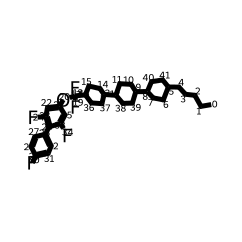 CCCCCC1CCC(C2CCC(C3CCC(C(F)(F)Oc4cc(F)c(-c5ccc(F)cc5)c(F)c4)CC3)CC2)CC1